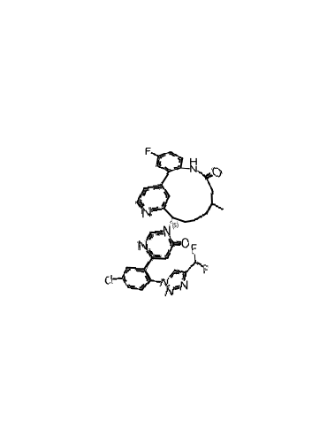 CC1CCC[C@H](n2cnc(-c3cc(Cl)ccc3-n3cc(C(F)F)nn3)cc2=O)c2cc(ccn2)-c2cc(F)ccc2NC(=O)C1